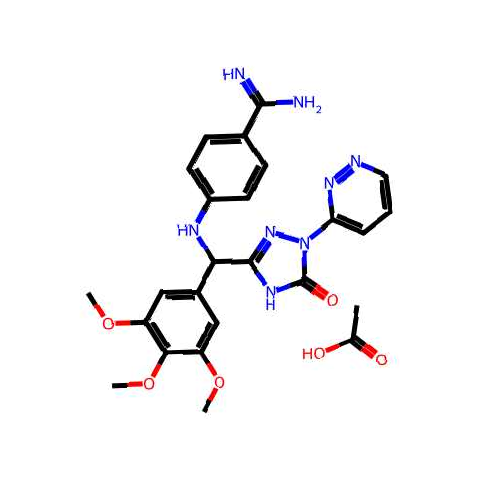 CC(=O)O.COc1cc(C(Nc2ccc(C(=N)N)cc2)c2nn(-c3cccnn3)c(=O)[nH]2)cc(OC)c1OC